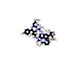 COC(=O)CC1N=C(c2ccc(Cl)cc2)c2c(sc(Bn3c(=O)n(C(C)c4ccccn4)c4c5cc(OC)c(-c6c(C)noc6C)cc5ncc43)c2C)N(C(C)=N)C1=N